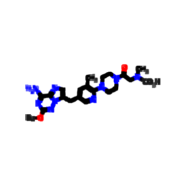 CC[C@H](C)Oc1nc(N)c2ncc(Cc3cnc(N4CCN(C(=O)CN(C)C(=O)O)CC4)c(C)c3)n2n1